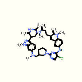 C=C(CCC1=Cc2cc(Nc3nc(N4CCCC(CN(C)c5ccc6c(C7CCC(=C)NC7=C)nn(C)c6c5)C4)ncc3Cl)ccc2N(C)C1=C)NC